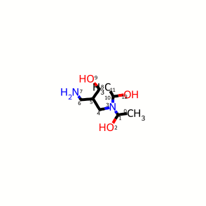 CC(O)N(CC(CN)CO)C(C)O